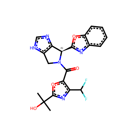 CC(C)(O)c1nc(C(F)F)c(C(=O)N2Cc3[nH]cnc3[C@H]2c2nc3ccccc3o2)o1